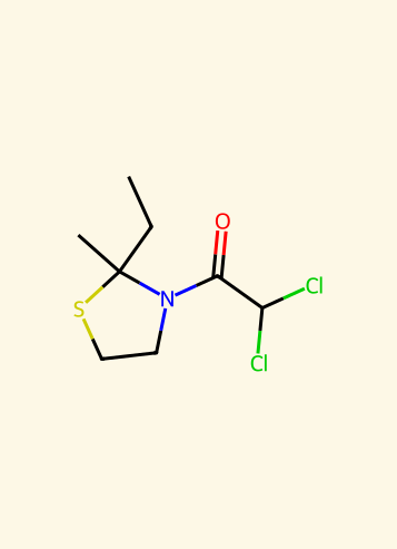 CCC1(C)SCCN1C(=O)C(Cl)Cl